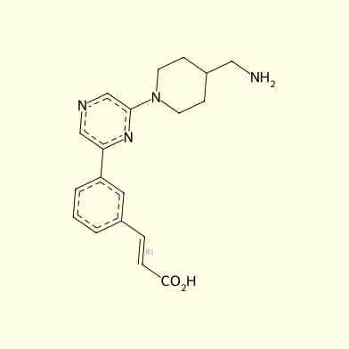 NCC1CCN(c2cncc(-c3cccc(/C=C/C(=O)O)c3)n2)CC1